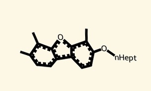 CCCCCCCOc1ccc2c(oc3c(C)c(C)ccc32)c1C